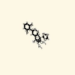 CC1(C)[C@H]2CC[C@]1(c1nnco1)c1nnc(-c3c(F)cccc3F)cc12